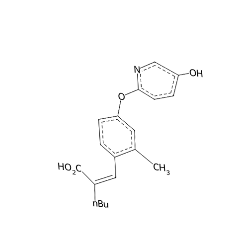 CCCCC(=Cc1ccc(Oc2ccc(O)cn2)cc1C)C(=O)O